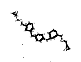 c1cc(COCC2CO2)cc(Cc2ccc(Cc3cccc(COC[C@@H]4CO4)c3)cc2)c1